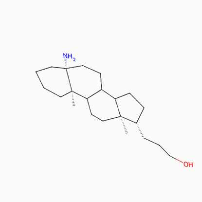 C[C@]12CCC3C(CC[C@]4(N)CCCC[C@]34C)C1CC[C@@H]2CCCO